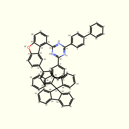 c1ccc(-c2ccc(-c3nc(-c4cccc(-c5ccccc5)c4)nc(-c4cccc5oc6ccc(-c7ccc8c(c7)-c7ccccc7C87c8ccccc8-c8ccccc87)cc6c45)n3)cc2)cc1